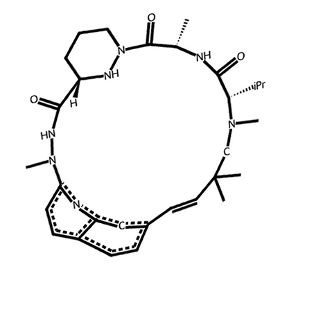 CC(C)[C@H]1C(=O)N[C@@H](C)C(=O)N2CCC[C@H](N2)C(=O)NN(C)c2ccc3ccc(cc3n2)/C=C/C(C)(C)CN1C